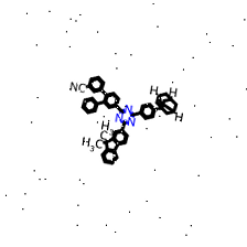 CC1(C)c2ccccc2-c2ccc(-c3nc(-c4ccc(C56C[C@H]7C[C@H](C5)C[C@@H](C6)C7)cc4)nc(-c4ccc(-c5cccc(C#N)c5)c(-c5ccccc5)c4)n3)cc21